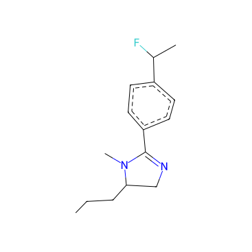 CCCC1CN=C(c2ccc(C(C)F)cc2)N1C